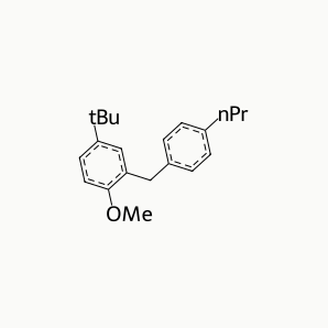 CCCc1ccc(Cc2cc(C(C)(C)C)ccc2OC)cc1